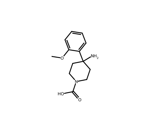 COc1ccccc1C1(N)CCN(C(=O)O)CC1